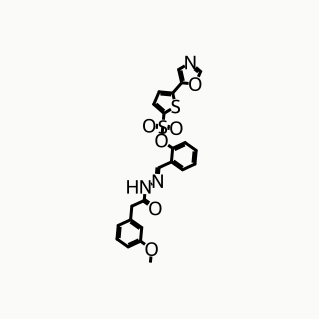 COc1cccc(CC(=O)NN=Cc2ccccc2OS(=O)(=O)c2ccc(-c3cnco3)s2)c1